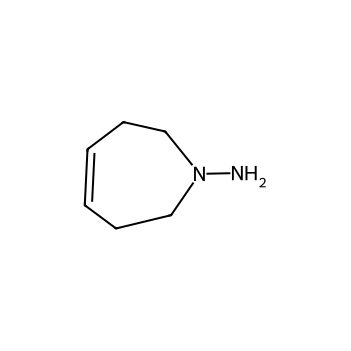 NN1CCC=CCC1